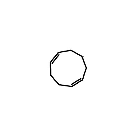 [CH]1CC=CCCC=CC1